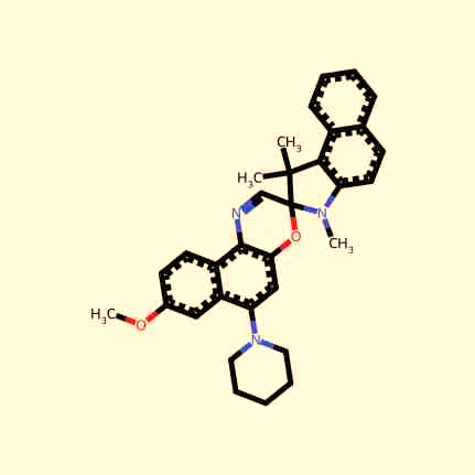 COc1ccc2c3c(cc(N4CCCCC4)c2c1)OC1(C=N3)N(C)c2ccc3ccccc3c2C1(C)C